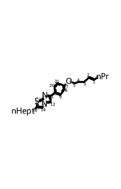 CCCC=CCCCOc1ccc(-c2cn3cc(CCCCCCC)sc3n2)cc1